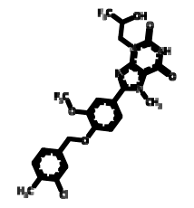 Cc1ccc(COc2ccc(-c3nc4c(c(=O)[nH]c(=O)n4CC(O)C(F)(F)F)n3C)cc2OC(F)(F)F)cc1Cl